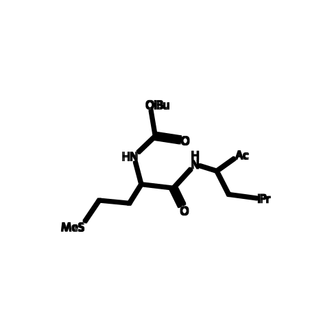 CSCCC(NC(=O)OCC(C)C)C(=O)NC(CC(C)C)C(C)=O